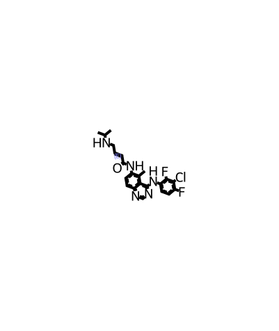 Cc1c(NC(=O)/C=C/CNC(C)C)ccc2ncnc(Nc3ccc(F)c(Cl)c3F)c12